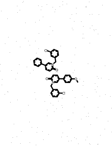 COc1ccc(-c2ccc(=O)n(Cc3cccc(Cl)c3)c2)cc1.O=c1ccc(-c2ccccc2)cn1Cc1cccc(Cl)c1